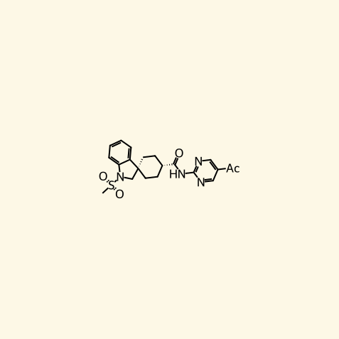 CC(=O)c1cnc(NC(=O)[C@H]2CC[C@]3(CC2)CN(S(C)(=O)=O)c2ccccc23)nc1